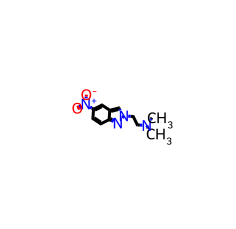 CN(C)CCn1cc2cc([N+](=O)[O-])ccc2n1